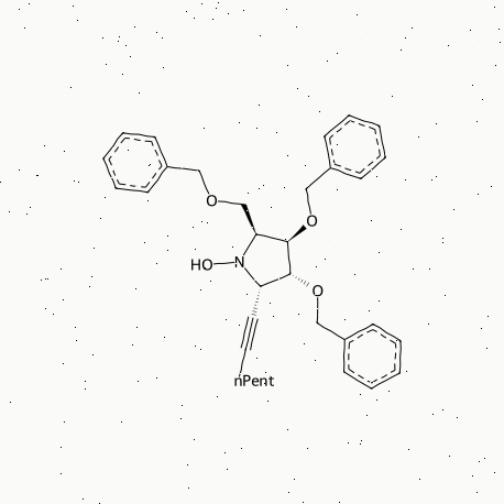 CCCCCC#C[C@H]1[C@@H](OCc2ccccc2)[C@H](OCc2ccccc2)[C@H](COCc2ccccc2)N1O